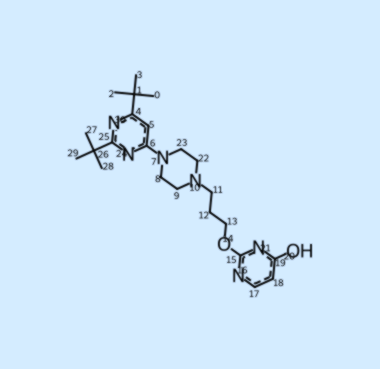 CC(C)(C)c1cc(N2CCN(CCCOc3nccc(O)n3)CC2)nc(C(C)(C)C)n1